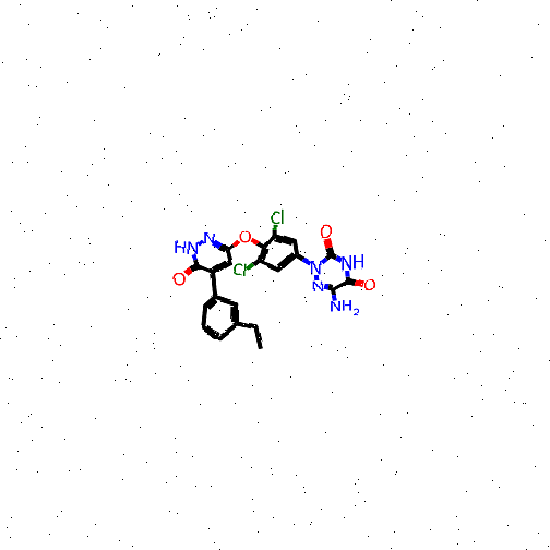 CCc1cccc(-c2cc(Oc3c(Cl)cc(-n4nc(N)c(=O)[nH]c4=O)cc3Cl)n[nH]c2=O)c1